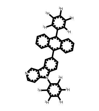 [2H]c1c([2H])c([2H])c(-c2c3ccccc3c(-c3ccc4c(c3)c3cnccc3n4-c3c([2H])c([2H])c([2H])c([2H])c3[2H])c3ccccc23)c([2H])c1[2H]